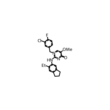 CCc1cc2c(cc1Nc1nc(=O)c(OC)cn1Cc1ccc(F)c(Cl)c1)CCC2